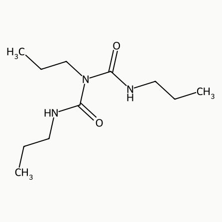 CCCNC(=O)N(CCC)C(=O)NCCC